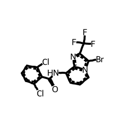 O=C(Nc1cccn2c(Br)c(C(F)(F)F)nc12)c1c(Cl)cccc1Cl